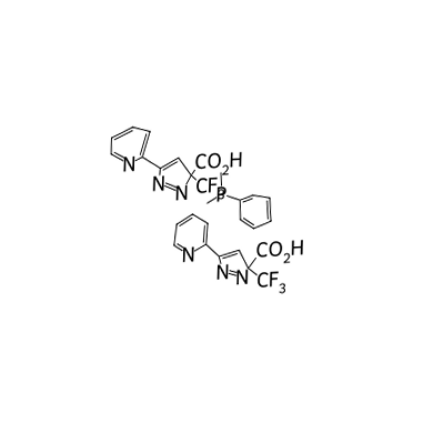 CP(C)c1ccccc1.O=C(O)C1(C(F)(F)F)C=C(c2ccccn2)N=N1.O=C(O)C1(C(F)(F)F)C=C(c2ccccn2)N=N1